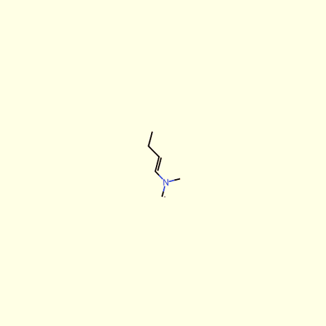 [CH2]N(C)C=CCC